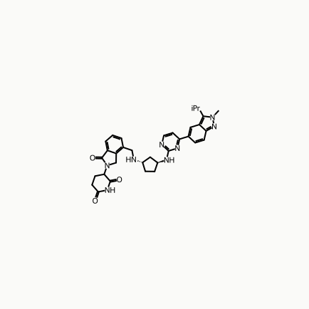 CC(C)c1c2cc(-c3ccnc(N[C@H]4CC[C@H](NCc5cccc6c5CN(C5CCC(=O)NC5=O)C6=O)C4)n3)ccc2nn1C